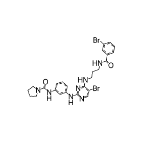 O=C(NCCCNc1nc(Nc2cccc(NC(=O)N3CCCC3)c2)ncc1Br)c1cccc(Br)c1